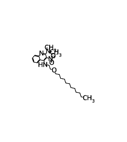 CCCCCCCCCCCCOCCNc1c([N+](=O)[O-])c(N(C)C)nc2ccccc12